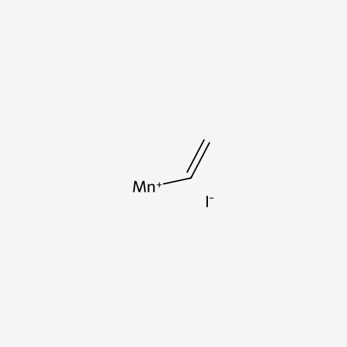 C=[CH][Mn+].[I-]